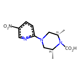 C[C@@H]1CN(c2ccc([N+](=O)[O-])cn2)C[C@H](C)N1C(=O)O